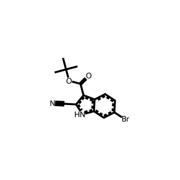 CC(C)(C)OC(=O)c1c(C#N)[nH]c2cc(Br)ccc12